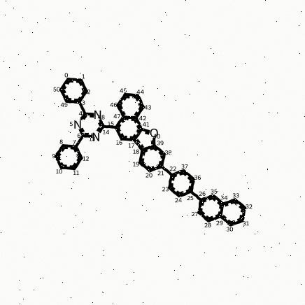 c1ccc(-c2nc(-c3ccccc3)nc(-c3cc4c5ccc(-c6ccc(-c7ccc8ccccc8c7)cc6)cc5oc4c4ccccc34)n2)cc1